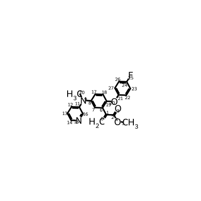 C=C(C(=O)OC)c1cc(N(C)c2cccnc2)ccc1Oc1ccc(F)cc1